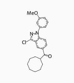 COc1cccc(-n2nc(Cl)c3cc(C(=O)C4CCCCCCC4)ccc32)c1